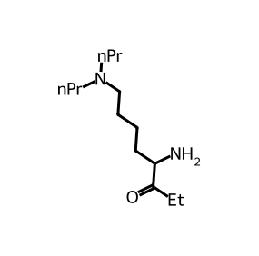 [CH2][CH]CN(C[CH][CH2])CCCCC(N)C(=O)CC